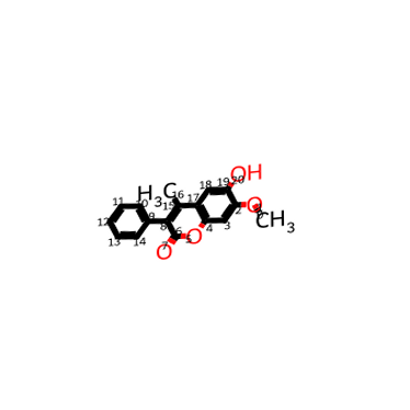 COc1cc2oc(=O)c(-c3ccccc3)c(C)c2cc1O